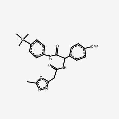 COc1ccc(C(NC(=O)Cc2nnc(C)o2)C(=O)Nc2ccc([Si](C)(C)C)cc2)cc1